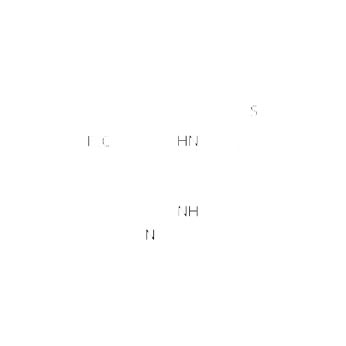 FC(F)(F)c1cn[nH]c1N[C]=S